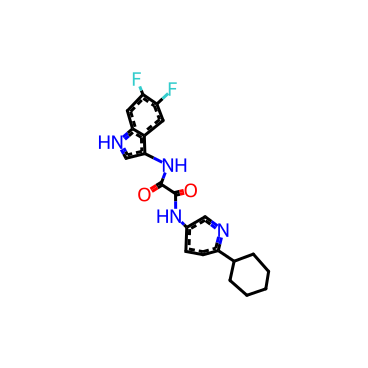 O=C(Nc1ccc(C2CCCCC2)nc1)C(=O)Nc1c[nH]c2cc(F)c(F)cc12